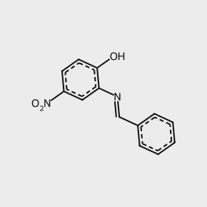 O=[N+]([O-])c1ccc(O)c(/N=C/c2ccccc2)c1